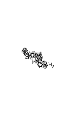 NS(=O)(=O)c1cccc(Nc2ncc(F)c(Nc3ccc(C(=O)N4CCS(=O)(=O)CC4)cc3)n2)c1